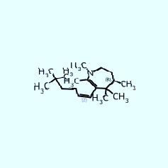 CC1=C(/C=C\CCC(C)(C)C)C(C)(C)[C@H](C)CCN1C